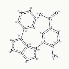 Cc1ccc([N+](=O)[O-])cc1-n1ccc2ncc(-c3ccnnc3)n21